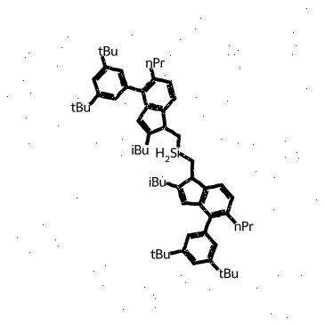 CCCc1ccc2c(c1-c1cc(C(C)(C)C)cc(C(C)(C)C)c1)C=C(C(C)CC)C2C[SiH2]CC1C(C(C)CC)=Cc2c1ccc(CCC)c2-c1cc(C(C)(C)C)cc(C(C)(C)C)c1